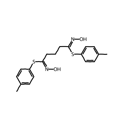 Cc1ccc(SC(CCCC(=NO)Sc2ccc(C)cc2)=NO)cc1